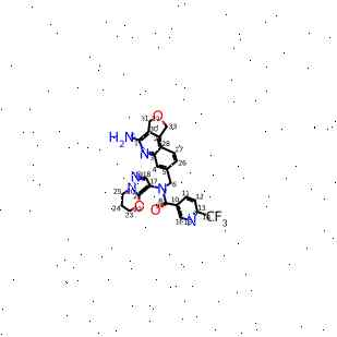 Nc1nc2cc(CN(C(=O)c3ccc(C(F)(F)F)nc3)c3cnn4c3OCCC4)ccc2c2c1COC2